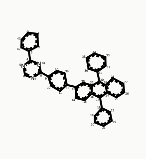 c1ccc(-c2ncnc(-c3ccc(-c4ccc5c(-c6ccccc6)c6ccccc6c(-c6ccccc6)c5c4)cc3)n2)cc1